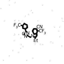 CCc1cc2c(C(F)(F)F)c(C#N)ccc2n1Cc1noc(-c2cccc(C(F)(F)F)c2)n1